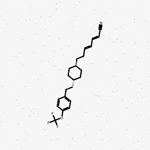 N#CC=CC=CCC[C@H]1CC[C@H](CCc2ccc(OC(F)(F)F)cc2)CC1